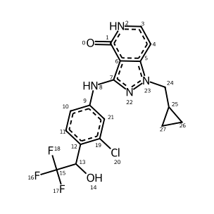 O=c1[nH]ccc2c1c(Nc1ccc(C(O)C(F)(F)F)c(Cl)c1)nn2CC1CC1